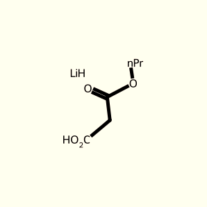 CCCOC(=O)CC(=O)O.[LiH]